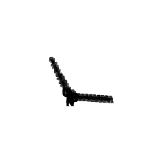 CCCCCCCCCCCCCCCCCCOC1=CC=C(OCCCCCCCCCCCCCCCCCC)C(=[N+]=[N-])C1